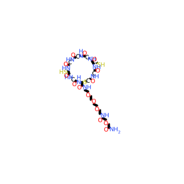 NC(=O)COCC(=O)NCCOCCOCCOCCNC(=O)C1NC(=O)CNC(=O)C(S)NC(=O)CNC(=O)CNC(=O)CNC(=O)[C@H](CS)NC(=O)CNC(=O)CS1